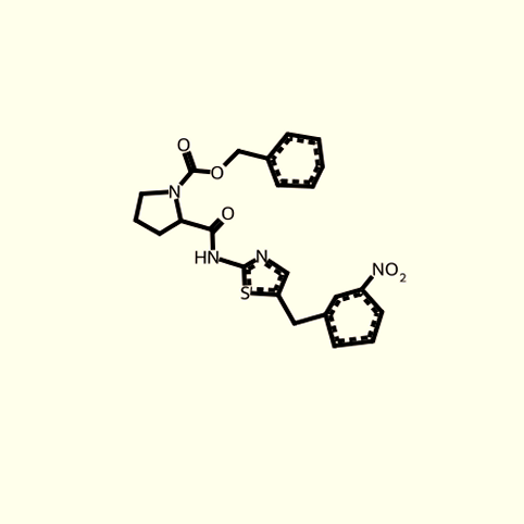 O=C(Nc1ncc(Cc2cccc([N+](=O)[O-])c2)s1)C1CCCN1C(=O)OCc1ccccc1